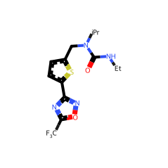 CCNC(=O)N(Cc1ccc(-c2noc(C(F)(F)F)n2)s1)C(C)C